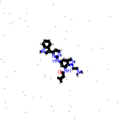 CC(C)=CC(=O)Nc1cc(Nc2nccc(-c3cn(C)c4ccccc34)n2)cc2cnn(CCN(C)C)c12